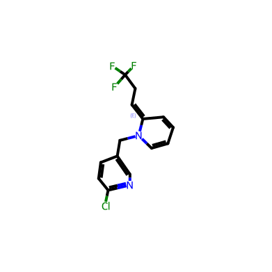 FC(F)(F)C/C=C1\C=CC=CN1Cc1ccc(Cl)nc1